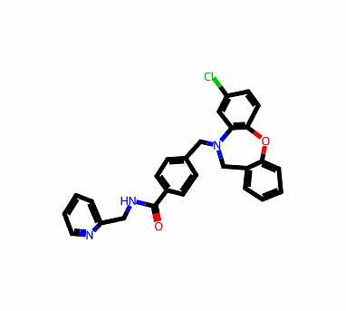 O=C(NCc1ccccn1)c1ccc(CN2Cc3ccccc3Oc3ccc(Cl)cc32)cc1